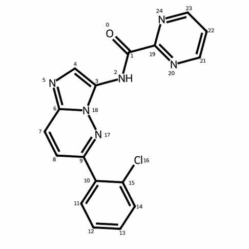 O=C(Nc1cnc2ccc(-c3ccccc3Cl)nn12)c1ncccn1